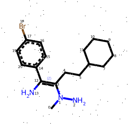 CN(N)/C(CCC1CCCCC1)=C(\N)c1ccc(Br)cc1